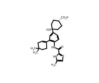 Cc1cnc(C(=O)Nc2ccc([C@]3(O)CC[C@@H](C(=O)O)CC3)cc2C2=CCC(C)(C)CC2)[nH]1